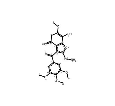 COC1=C(O)c2oc(NN)c(C(=O)c3cc(OC)c(OC)c(OC)c3)c2C(=O)C1